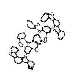 c1ccc2c(c1)Oc1cc(-n3c4ccccc4c4ccc5oc6ccccc6c5c43)cc3c1B2c1cc2c(cc1O3)Oc1cc(-n3c4ccccc4c4ccc5oc6ccccc6c5c43)cc3c1B2c1ccccc1O3